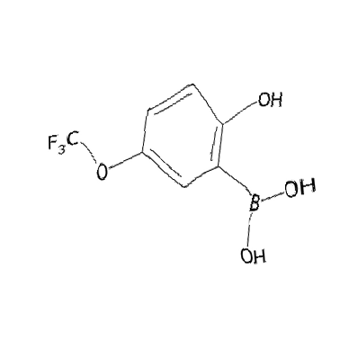 OB(O)c1cc(OC(F)(F)F)ccc1O